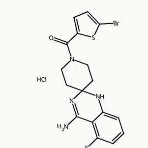 Cl.NC1=NC2(CCN(C(=O)c3ccc(Br)s3)CC2)Nc2cccc(F)c21